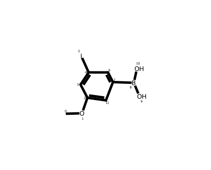 COc1cc(I)cc(B(O)O)c1